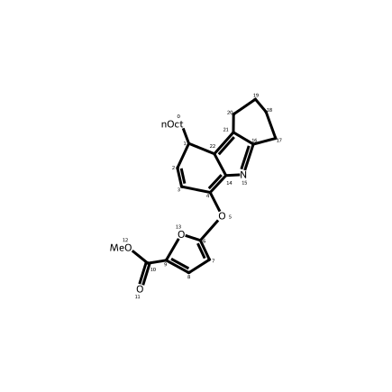 CCCCCCCCC1C=CC(Oc2ccc(C(=O)OC)o2)=C2N=C3CCCCC3=C21